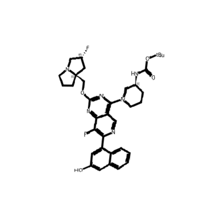 CC(C)(C)OC(=O)N[C@H]1CCCN(c2nc(OC[C@@]34CCCN3C[C@H](F)C4)nc3c(F)c(-c4cc(O)cc5ccccc45)ncc23)C1